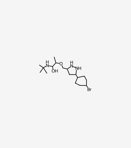 CC(OCC1CC(C2CCC(Br)CC2)NN1)C(O)NC(C)(C)C